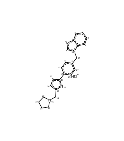 Cl.c1ccc2c(c1)ncn2Cc1ccc(-c2nc(CN3CCCC3)cs2)cc1